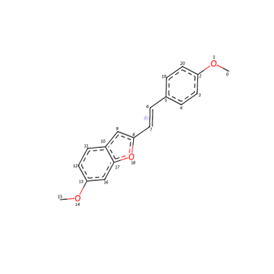 COc1ccc(/C=C/c2cc3ccc(OC)cc3o2)cc1